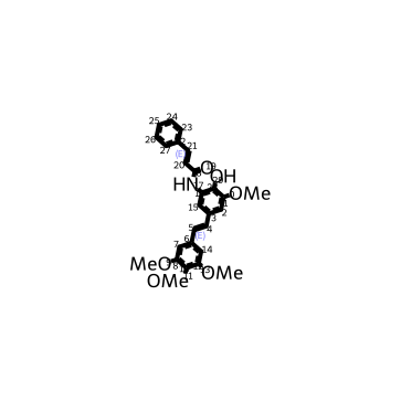 COc1cc(/C=C/c2cc(OC)c(OC)c(OC)c2)cc(NC(=O)/C=C/c2ccccc2)c1O